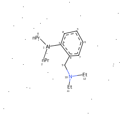 CC[CH2][Al]([CH2]CC)[c]1ccccc1CN(CC)CC